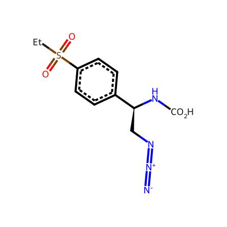 CCS(=O)(=O)c1ccc([C@H](CN=[N+]=[N-])NC(=O)O)cc1